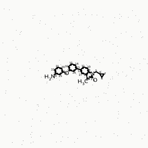 Cn1c(=O)n(CC2CC2)c2ccc(-c3cccc(Oc4cccc(N)c4)c3)cc21